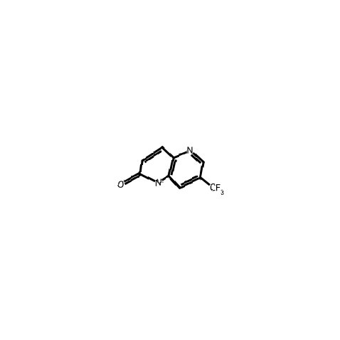 O=C1C=Cc2ncc(C(F)(F)F)cc2[N]1